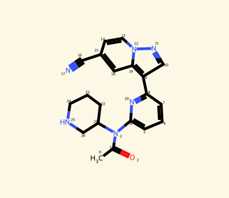 CC(=O)N(c1cccc(-c2cnn3ccc(C#N)cc23)n1)C1CCCNC1